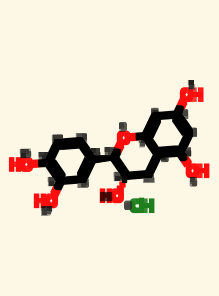 Cl.Oc1cc(O)c2c(c1)O[C@H](c1ccc(O)c(O)c1)[C@@H](O)C2